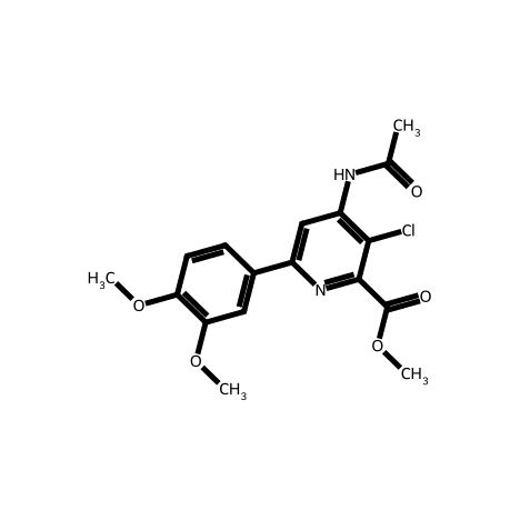 COC(=O)c1nc(-c2ccc(OC)c(OC)c2)cc(NC(C)=O)c1Cl